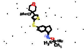 COC1(c2csc(Sc3ccc4c(c3)CC/C4=N\O[Si](C)(C)C(C)(C)C)c2)CCOCC1